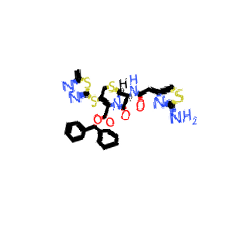 Cc1nnc(SC2=C(C(=O)OC(c3ccccc3)c3ccccc3)N3C(=O)[C@@H](NC(=O)Cc4csc(N)n4)[C@@H]3SC2)s1